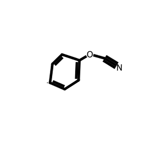 N#COc1cc[c]cc1